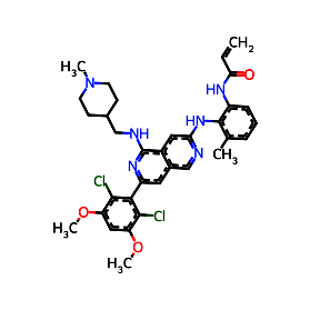 C=CC(=O)Nc1cccc(C)c1Nc1cc2c(NCC3CCN(C)CC3)nc(-c3c(Cl)c(OC)cc(OC)c3Cl)cc2cn1